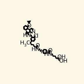 CC(CCCC(=O)NCCN1CCN(C(=O)NCCCC[C@H](O)CO)CC1)c1ccc(Cl)c(CNC2(c3cnccc3-c3ccccc3OC3CC3)CC2)c1